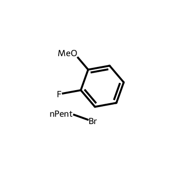 CCCCCBr.COc1ccccc1F